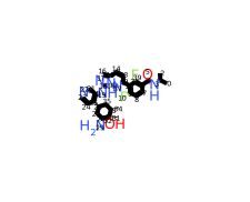 CC(C)NC(=O)c1ccc(F)c(-c2ccc3cnc(Nc4cnccc4[C@H]4C[C@@H](N)[C@](C)(O)[C@@H](C)C4)n3n2)c1F